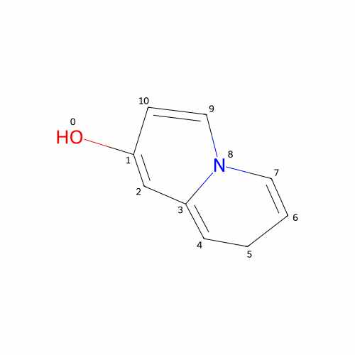 OC1=CC2=CCC=CN2C=C1